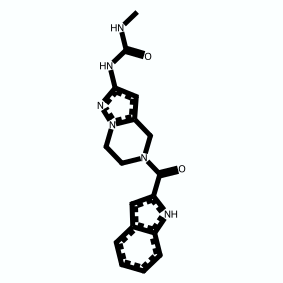 CNC(=O)Nc1cc2n(n1)CCN(C(=O)c1cc3ccccc3[nH]1)C2